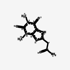 Cn1c(=O)c2[nH]c(CC(N)=O)nc2n(C)c1=O